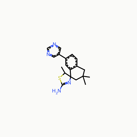 CC1SC(N)=NC12CC(C)(C)Cc1ccc(-c3cncnc3)cc12